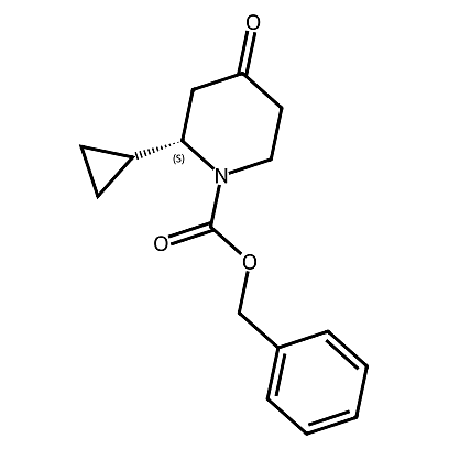 O=C1CCN(C(=O)OCc2ccccc2)[C@H](C2CC2)C1